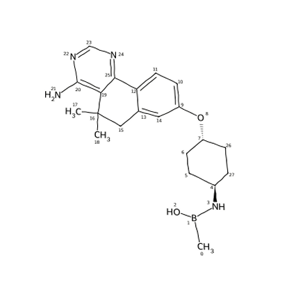 CB(O)N[C@H]1CC[C@H](Oc2ccc3c(c2)CC(C)(C)c2c(N)ncnc2-3)CC1